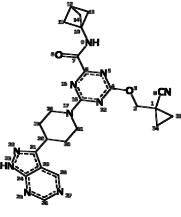 N#CC1(COc2nc(C(=O)NC34CC(C3)C4)nc(N3CCC(c4n[nH]c5ncncc45)CC3)n2)CC1